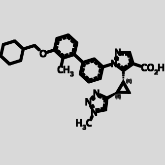 Cc1c(OCC2CCCCC2)cccc1-c1cccc(-n2ncc(C(=O)O)c2[C@@H]2C[C@H]2c2cn(C)nn2)c1